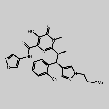 COCCn1cc([C@@H](c2ccccc2C#N)[C@H](C)c2nc(C(=O)Nc3cnoc3)c(O)c(=O)n2C)cn1